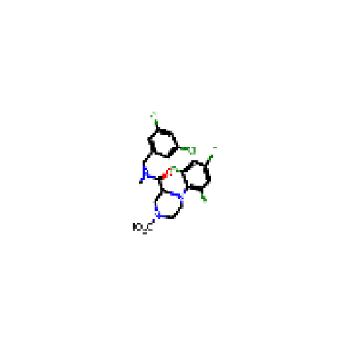 CN(Cc1cc(Cl)cc(Cl)c1)C(=O)C1CN(C(=O)O)CCN1c1c(F)cc(F)cc1F